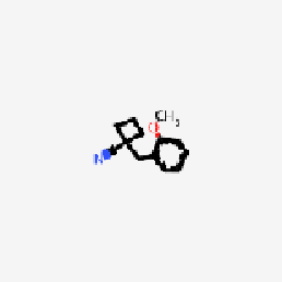 COc1ccccc1CC1(C#N)CCC1